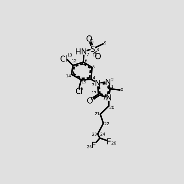 Cc1nn(-c2cc(NS(C)(=O)=O)c(Cl)cc2Cl)c(=O)n1CCCCC(F)F